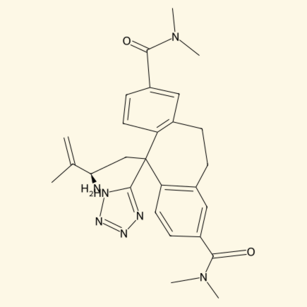 C=C(C)[C@H](N)CC1(c2nnn[nH]2)c2ccc(C(=O)N(C)C)cc2CCc2cc(C(=O)N(C)C)ccc21